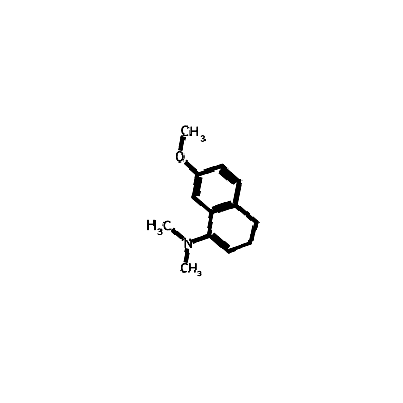 COc1ccc2c(c1)C(N(C)C)=CCC2